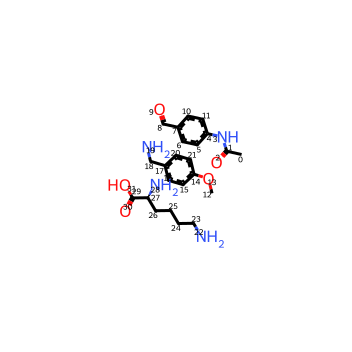 CC(=O)Nc1ccc(C=O)cc1.COc1ccc(CN)cc1.NCCCC[C@H](N)C(=O)O